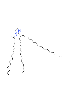 CCCCCCCCCCCCCCCCCC(CCCCCCCCCCCCC)c1nccn1C(C)CCCCCCCCCCCCCCC